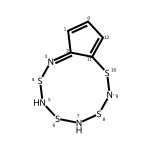 C1=C/C2=N/SNSNS[N]SC2=C1